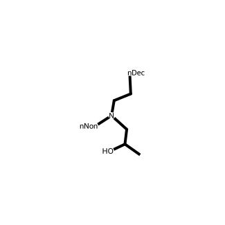 CCCCCCCCCCCCN(CCCCCCCCC)CC(C)O